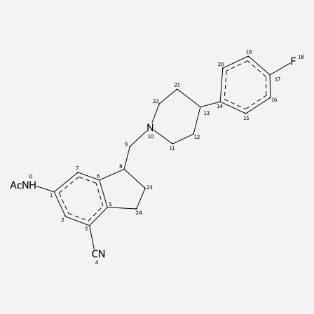 CC(=O)Nc1cc(C#N)c2c(c1)C(CN1CCC(c3ccc(F)cc3)CC1)CC2